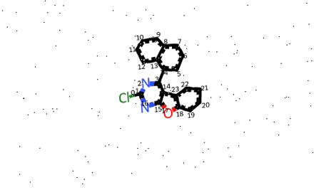 Clc1nc(-c2cccc3ccccc23)c2c(n1)oc1ccccc12